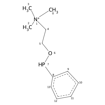 C[N+](C)(C)CCOPc1ccccc1